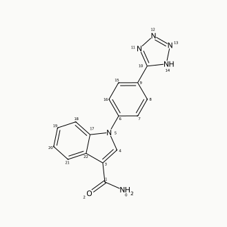 NC(=O)c1cn(-c2ccc(-c3nnn[nH]3)cc2)c2ccccc12